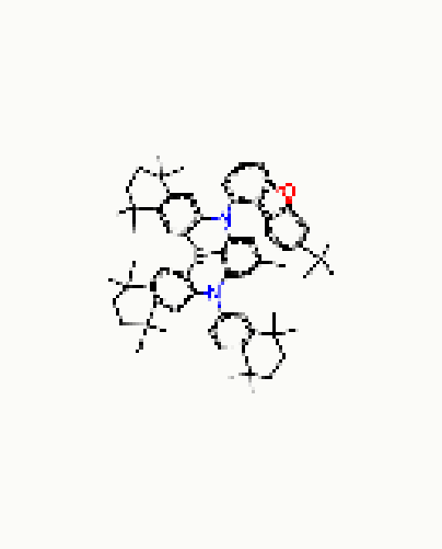 Cc1cc2c3c(c1)N(c1cccc4oc5cc(C(C)(C)C)ccc5c14)c1cc4c(cc1B3c1cc3c(cc1N2c1ccc2c(c1)C(C)(C)CCC2(C)C)C(C)(C)CCC3(C)C)C(C)(C)CCC4(C)C